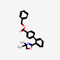 CC1(C)COC(c2ccccc2-c2ccc(C(=O)OCc3ccccc3)cc2)=N1